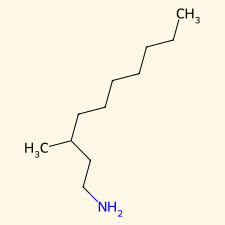 CCCCCCCC(C)CCN